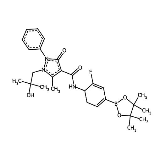 Cc1c(C(=O)NC2CC=C(B3OC(C)(C)C(C)(C)O3)C=C2F)c(=O)n(-c2ccccc2)n1CC(C)(C)O